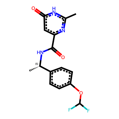 Cc1nc(C(=O)N[C@@H](C)c2ccc(OC(F)F)cc2)cc(=O)[nH]1